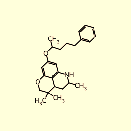 CC1CC2c3c(cc(OC(C)CCCc4ccccc4)cc3OCC2(C)C)N1